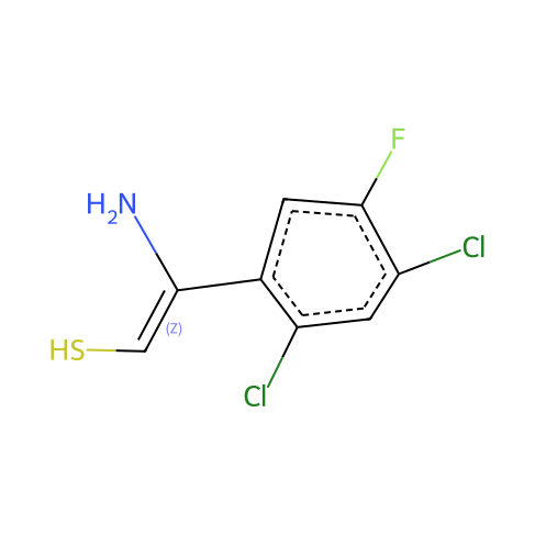 N/C(=C\S)c1cc(F)c(Cl)cc1Cl